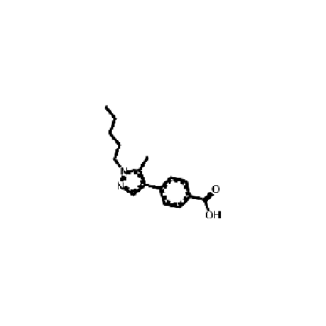 CCCCCn1ncc(-c2ccc(C(=O)O)cc2)c1C